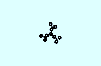 c1ccc(N(c2ccccc2)c2ccc(-c3cc(-c4ccc5c(c4)c4ccccc4n5-c4ccccc4)cc(-c4ccc5c(c4)c4ccccc4n5-c4ccccc4)c3)cc2)cc1